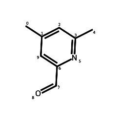 Cc1cc(C)nc([C]=O)c1